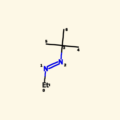 C[C]N=NC(C)(C)C